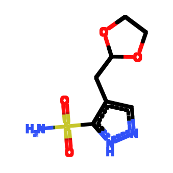 NS(=O)(=O)c1[nH]ncc1CC1OCCO1